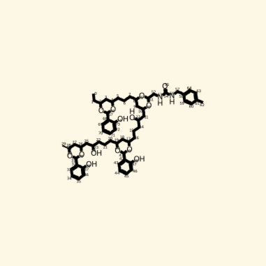 CCC1CC(CCCC2CC(CC(O)CCCC3CC(CCCC(O)CC4C[C@H](C)OC(c5ccccc5O)O4)OC(c4ccccc4O)O3)OC(CNC(=O)NCc3ccc(C)cc3)O2)OC(c2ccccc2O)O1